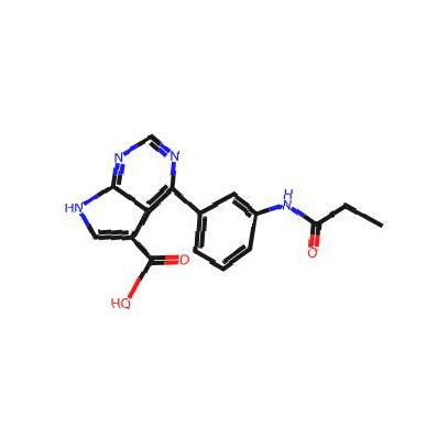 CCC(=O)Nc1cccc(-c2ncnc3[nH]cc(C(=O)O)c23)c1